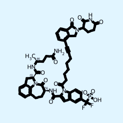 C[C@H](CCC(N)=O)NC(=O)[C@@H]1Cc2cccc3c2N1C(=O)[C@@H](NC(=O)c1cc2cc(C(F)(F)P(=O)(O)O)ccc2n1C(=O)CCCCCC#Cc1cccc2c1CN(C1CCC(=O)NC1=O)C2=O)CC3